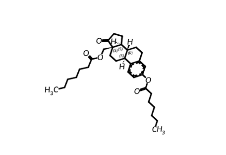 CCCCCCC(=O)OC[C@]12CC[C@@H]3c4ccc(OC(=O)CCCCCC)cc4CC[C@H]3[C@@H]1CCC2=O